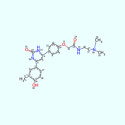 Cc1cc(-c2cc(-c3ccc(OCC(=O)NCCN(C)C)cc3)[nH]c(=O)n2)ccc1O